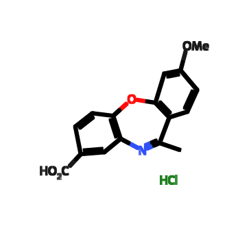 COc1ccc2c(c1)Oc1ccc(C(=O)O)cc1N=C2C.Cl